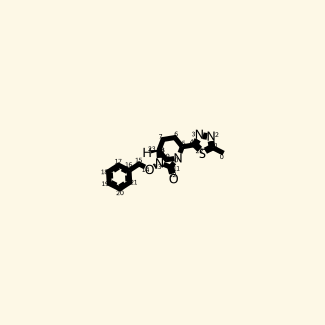 Cc1nnc(C2CC[C@@H]3CN2C(=O)N3OCc2ccccc2)s1